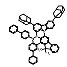 CC1(C)c2ccccc2-c2cc3c4c(c21)-c1cc(-c2ccccc2)ccc1N(c1ccc(-c2ccccc2)cc1)B4c1cc(C24CC5CC(CC(C5)C2)C4)cc2c4cc(C56CC7CC(CC(C7)C5)C6)ccc4n-3c12